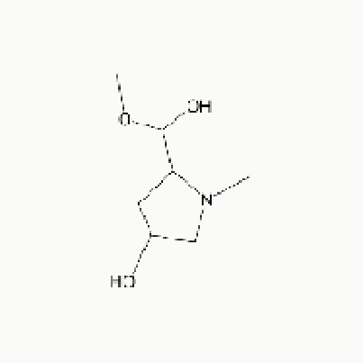 COC(O)C1CC(O)CN1C